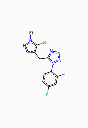 CCn1ncc(Cc2ncnn2-c2ccc(F)cc2I)c1Br